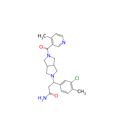 Cc1ccc(C(CC(N)=O)N2CC3CN(C(=O)c4cnccc4C)CC3C2)cc1Cl